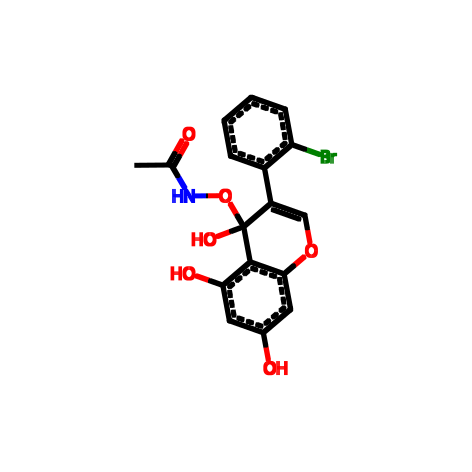 CC(=O)NOC1(O)C(c2ccccc2Br)=COc2cc(O)cc(O)c21